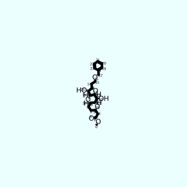 COC(=O)CC1CC[C@@H]2O[C@@H]3[C@@H](OC(CCOCc4ccccc4)[C@H]3O)[C@@H](O)[C@H]2O1